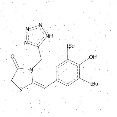 CC(C)(C)c1cc(C=C2SCC(=O)N2Cc2nnn[nH]2)cc(C(C)(C)C)c1O